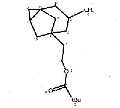 CC1CC2(CCOC(=O)C(C)(C)C)CC3CC3(C1)C2